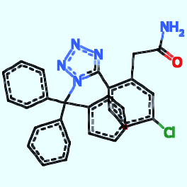 NC(=O)Cc1cc(Cl)ccc1-c1nnnn1C(c1ccccc1)(c1ccccc1)c1ccccc1